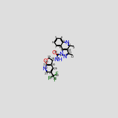 Cc1nc2ccccc2c2c1c(C)nn2C(=O)N[C@H]1COc2ncc(C(F)(F)F)cc21